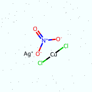 O=[N+]([O-])[O-].[Ag+].[Cl][Cu][Cl]